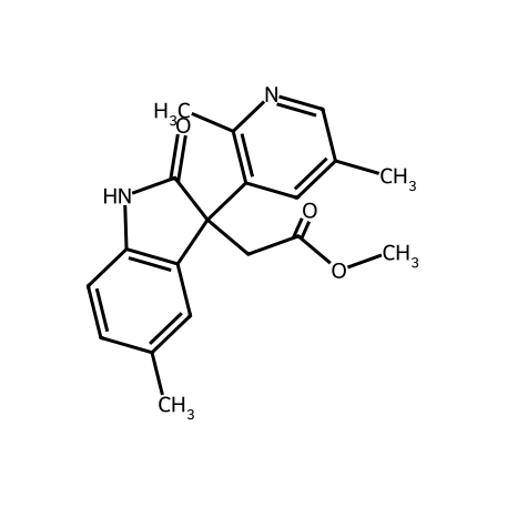 COC(=O)CC1(c2cc(C)cnc2C)C(=O)Nc2ccc(C)cc21